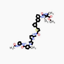 CCOC(=O)c1c(C)[nH]c(C(=O)N[C@@H]2CCCc3cc(-c4cccc(-c5ccc(C(=O)NCc6cccc(-c7ccn(-c8cc(C(=O)Nc9cccc(NC(C)=O)c9)ccc8C)c7)n6)s5)c4)ccc32)c1C